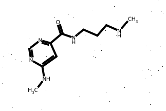 CNCCCNC(=O)c1cc(NC)ncn1